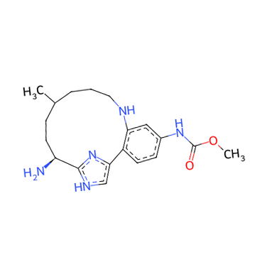 COC(=O)Nc1ccc2c(c1)NCCCC(C)CC[C@H](N)c1nc-2c[nH]1